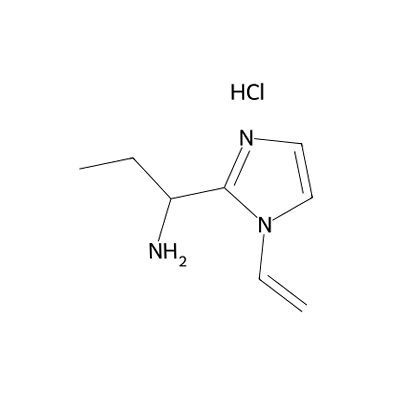 C=Cn1ccnc1C(N)CC.Cl